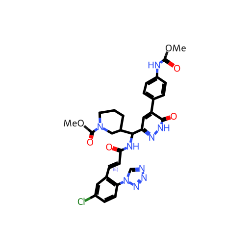 COC(=O)Nc1ccc(-c2cc(C(NC(=O)/C=C/c3cc(Cl)ccc3-n3cnnn3)C3CCCN(C(=O)OC)C3)n[nH]c2=O)cc1